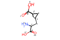 NC(CC1CC1C(=O)O)C(=O)O